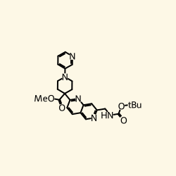 COC(=O)C1(c2ccc3cnc(CNC(=O)OC(C)(C)C)cc3n2)CCN(c2cccnc2)CC1